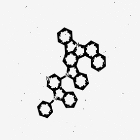 c1ccc(-n2c3ccccc3c3c(-n4c5ccccc5c5c6c7c8ccccc8ccc7n7c8ccccc8c(cc54)c67)cncc32)cc1